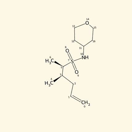 C=CC[C@@H](C)[C@@H](C)S(=O)(=O)NC1CCOCC1